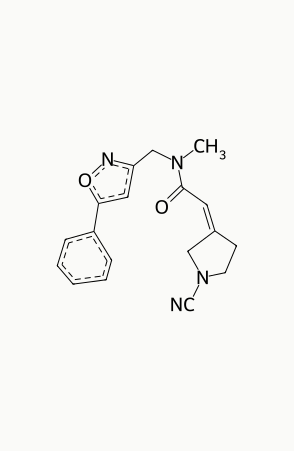 CN(Cc1cc(-c2ccccc2)on1)C(=O)C=C1CCN(C#N)C1